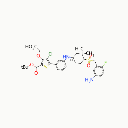 CC(C)(C)OC(=O)c1sc(-c2cccc(N[C@@H]3CCC(S(=O)(=O)Cc4cc(N)ccc4F)C(C)(C)C3)c2)c(Cl)c1OCC(=O)O